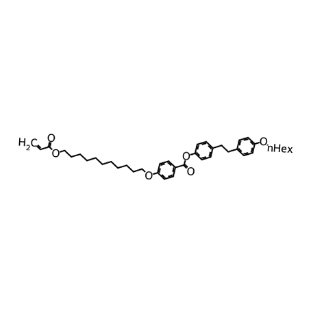 C=CC(=O)OCCCCCCCCCCCOc1ccc(C(=O)Oc2ccc(CCc3ccc(OCCCCCC)cc3)cc2)cc1